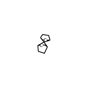 C1CC2CCC1C21C2CCC1CC2